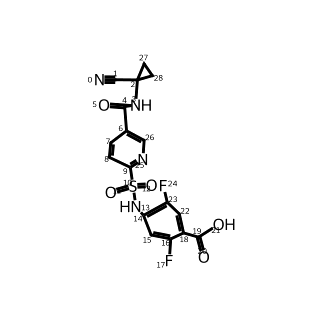 N#CC1(NC(=O)c2ccc(S(=O)(=O)Nc3cc(F)c(C(=O)O)cc3F)nc2)CC1